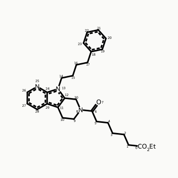 CCOC(=O)CCCCCC(=O)N1CCc2c(n(CCCCc3ccccc3)c3ncccc23)C1